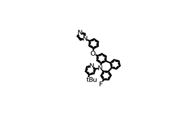 CC(C)(C)c1ccnc(N2c3cc(F)ccc3-c3ccccc3-c3ccc(Oc4cccc(-n5ccnc5)c4)cc32)c1